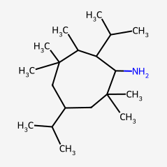 CC(C)C1CC(C)(C)C(C)C(C(C)C)C(N)C(C)(C)C1